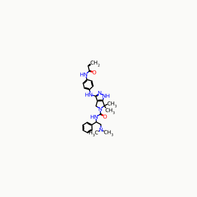 C=CC(=O)Nc1ccc(Nc2n[nH]c3c2CN(C(=O)NC(CN(C)C)c2ccccc2)C3(C)C)cc1